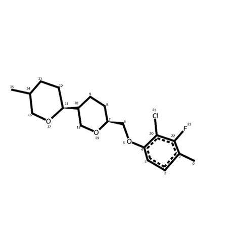 Cc1ccc(OC[C@@H]2CCC([C@@H]3CCC(C)CO3)CO2)c(Cl)c1F